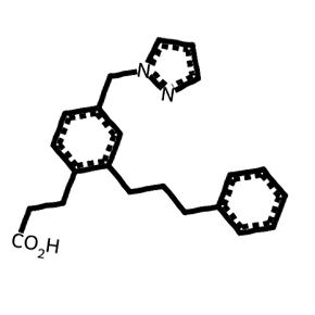 O=C(O)CCc1ccc(Cn2cccn2)cc1CCCc1ccccc1